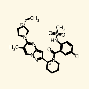 CC[C@H]1CCN(c2nc3cc([C@@H]4CCCCN4C(=O)c4cc(Cl)ccc4NS(C)(=O)=O)nn3cc2C)C1